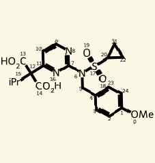 COc1ccc(CN(c2nccc(C(C(=O)O)(C(=O)O)C(C)C)n2)S(=O)(=O)C2CC2)cc1